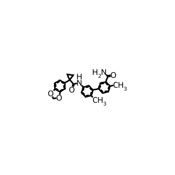 Cc1ccc(-c2cc(NC(=O)C3(c4ccc5c(c4)OCO5)CC3)ccc2C)cc1C(N)=O